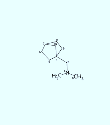 CN(C)CC12CCC(CC1)C2